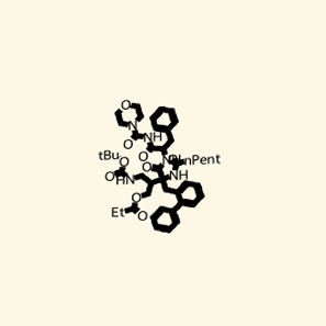 CCCCCC(=O)NC(Cc1ccccc1-c1ccccc1)(C(=O)NC(Cc1ccccc1)C(=O)NC(=O)N1CCOCC1)C(CNC(=O)OC(C)(C)C)COC(=O)CC